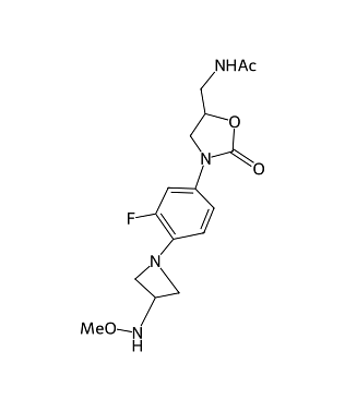 CONC1CN(c2ccc(N3CC(CNC(C)=O)OC3=O)cc2F)C1